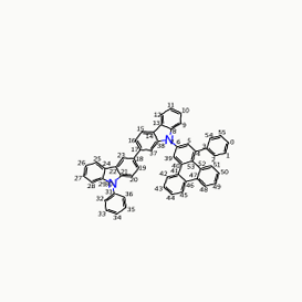 c1ccc(-c2cc(-n3c4ccccc4c4ccc(-c5ccc6c(c5)c5ccccc5n6-c5ccccc5)cc43)cc3c4ccccc4c4ccccc4c23)cc1